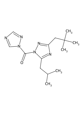 CC(C)Cc1nc(CC(C)(C)C)nn1C(=O)n1cncn1